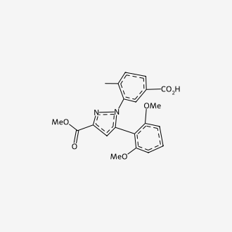 COC(=O)c1cc(-c2c(OC)cccc2OC)n(-c2cc(C(=O)O)ccc2C)n1